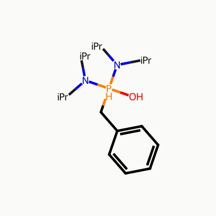 CC(C)N(C(C)C)[PH](O)(Cc1ccccc1)N(C(C)C)C(C)C